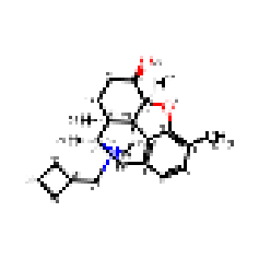 Cc1ccc2c3c1O[C@@H]1C(=O)CC[C@@H]4[C@H](C2)N(CC2CCC2)CC[C@@]314